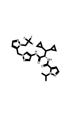 CC(C)n1nccc1C(=O)N[C@H](C(=O)Nc1cnn(Cc2ccnn2CC(F)(F)F)c1)C(C1CC1)C1CC1